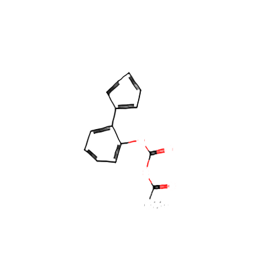 COC(=O)OC(=O)Oc1ccccc1-c1ccccc1